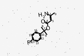 C/C(N)=C/C(=O)OC(C)(C)c1ccc(F)cc1